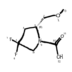 COC[C@H]1CC(F)(F)CN1C(=O)O